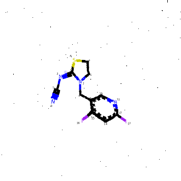 N#C/N=C1/SCCN1Cc1cnc(I)cc1I